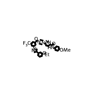 CCOc1cccc(-c2cnn(-c3cc(C(=O)N4CCN(c5ccc(C(=O)Nc6ccc(OC)cc6)nn5)CC4)cc(C(F)(F)F)c3)c2)c1